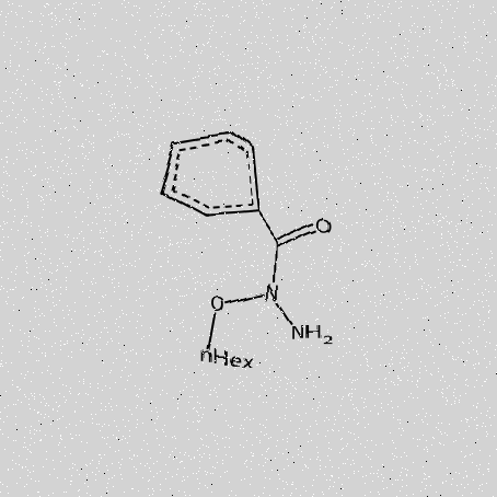 CCCCCCON(N)C(=O)c1ccccc1